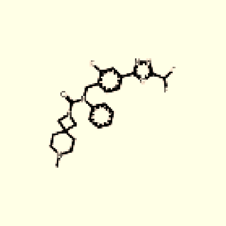 CN1CCC2(CC1)CN(C(=O)N(Cc1ccc(-c3nnc(C(F)F)o3)cc1F)c1ccccc1)C2